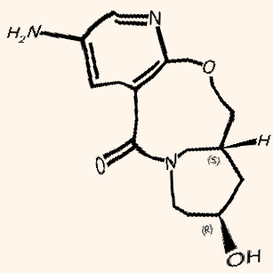 Nc1cnc2c(c1)C(=O)N1C[C@H](O)C[C@H]1CO2